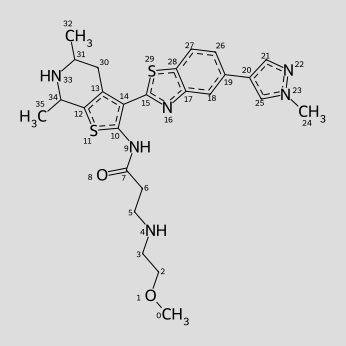 COCCNCCC(=O)Nc1sc2c(c1-c1nc3cc(-c4cnn(C)c4)ccc3s1)CC(C)NC2C